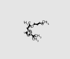 COCCCOC(C)C[n+]1cnn(C(C)C)n1